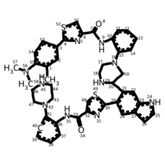 Cc1cc(-c2nc(C(=O)Nc3ccccc3N3CCNC(c4cc5[nH]ccc5cc4-c4nc(C(=O)Nc5ccccc5N5CCNCC5)cs4)C3)cs2)ccc1N(C)C